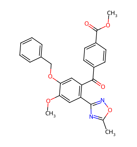 COC(=O)c1ccc(C(=O)c2cc(OCc3ccccc3)c(OC)cc2-c2noc(C)n2)cc1